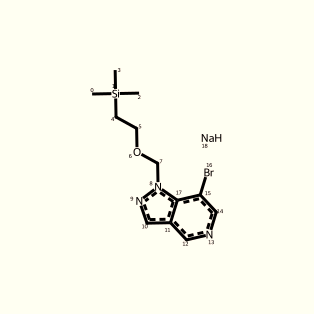 C[Si](C)(C)CCOCn1ncc2cncc(Br)c21.[NaH]